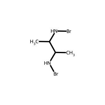 CC(NBr)C(C)NBr